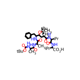 CC(NC(=O)OC(C)(C)C)C(=O)NC(C)C(=O)NC(Cc1ccccc1)C(CCC(=O)NC(C(=O)NC(C(=O)O)C(C)C)C(C)C)O[Si](C)(C)C(C)(C)C